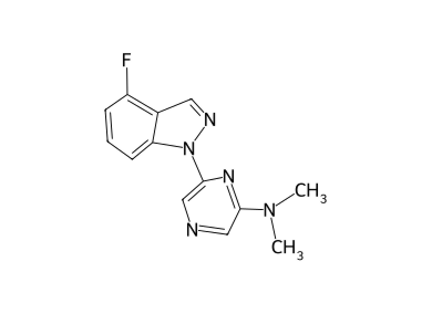 CN(C)c1cncc(-n2ncc3c(F)cccc32)n1